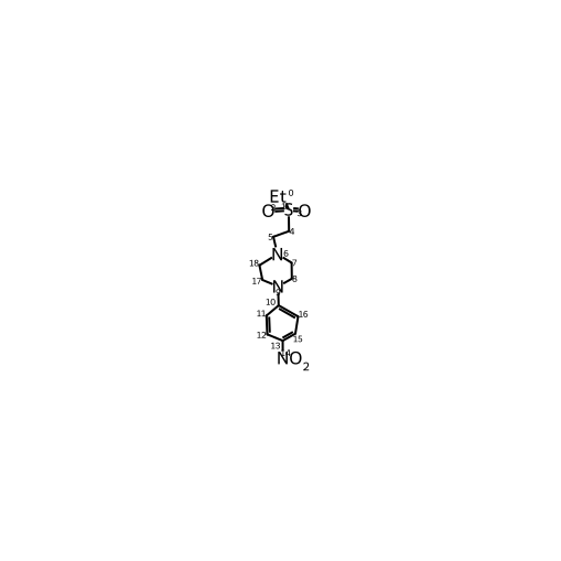 CCS(=O)(=O)CCN1CCN(c2ccc([N+](=O)[O-])cc2)CC1